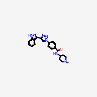 CN1CCC(NC(=O)c2ccc(-n3cc(-c4n[nH]c5ccccc45)nn3)cc2)CC1